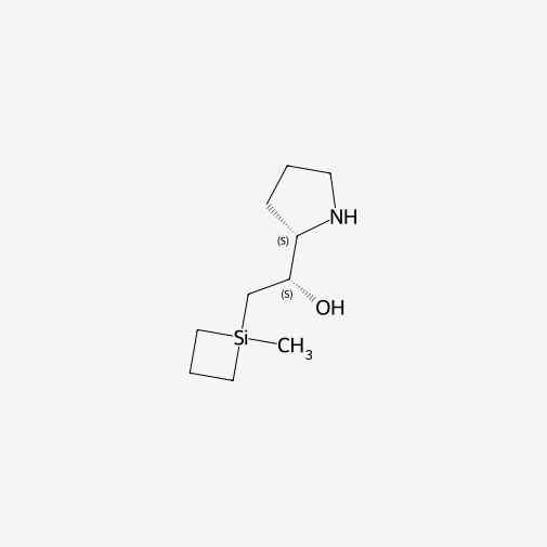 C[Si]1(C[C@@H](O)[C@@H]2CCCN2)CCC1